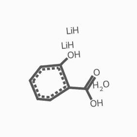 O.O=C(O)c1ccccc1O.[LiH].[LiH]